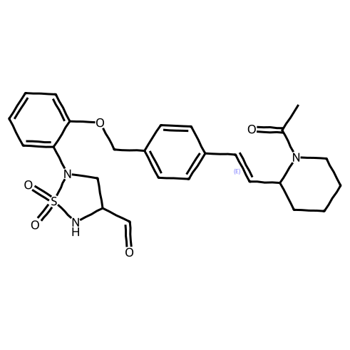 CC(=O)N1CCCCC1/C=C/c1ccc(COc2ccccc2N2CC(C=O)NS2(=O)=O)cc1